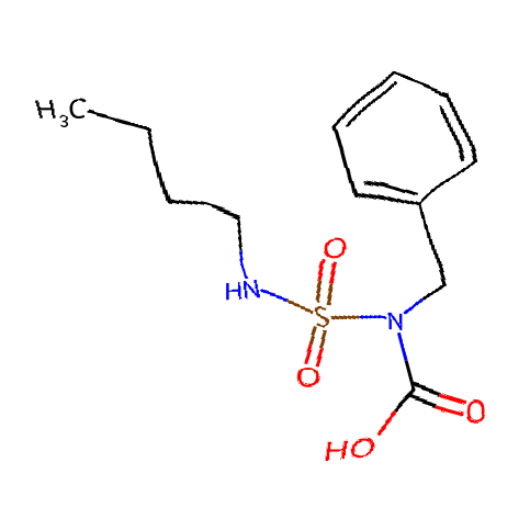 CCCCNS(=O)(=O)N(Cc1ccccc1)C(=O)O